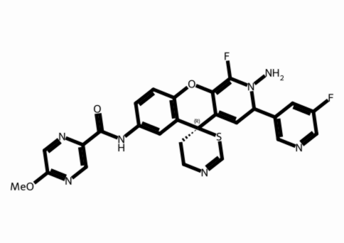 COc1cnc(C(=O)Nc2ccc3c(c2)[C@@]2(CCN=CS2)C2=CC(c4cncc(F)c4)N(N)C(F)=C2O3)cn1